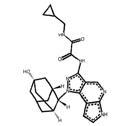 O=C(NCC1CC1)C(=O)Nc1nn([C@H]2[C@@H]3CC4C[C@H]2C[C@@](O)(C4)C3)c2c1cnc1[nH]ccc12